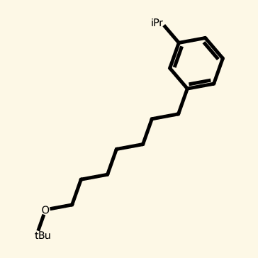 CC(C)c1cccc(CCCCCCCOC(C)(C)C)c1